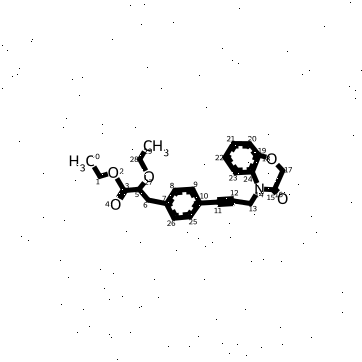 CCOC(=O)C(Cc1ccc(C#CCN2C(=O)COc3ccccc32)cc1)OCC